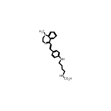 CN1CCN=C(/C=C/c2ccc(NCCCCNC(=O)O)cc2)c2ccccc21